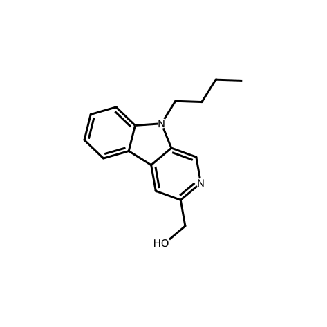 CCCCn1c2ccccc2c2cc(CO)ncc21